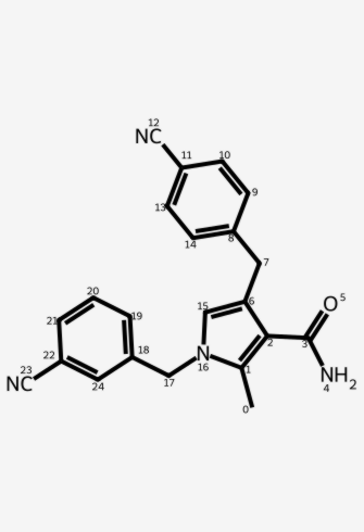 Cc1c(C(N)=O)c(Cc2ccc(C#N)cc2)cn1Cc1cccc(C#N)c1